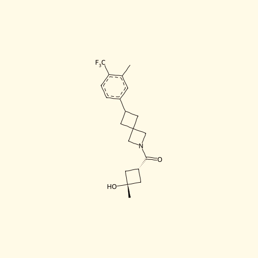 Cc1cc(C2CC3(C2)CN(C(=O)[C@H]2C[C@@](C)(O)C2)C3)ccc1C(F)(F)F